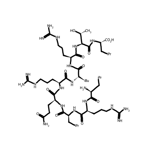 CC[C@H](C)[C@H](NC(=O)[C@H](CCCNC(=N)N)NC(=O)[C@H](CCC(N)=O)NC(=O)[C@H](CC(C)C)NC(=O)[C@H](CCCNC(=N)N)NC(=O)[C@@H](N)CC(C)C)C(=O)N[C@@H](CCCNC(=N)N)C(=O)N[C@H](C(=O)N[C@@H](CC(C)C)C(=O)O)[C@@H](C)O